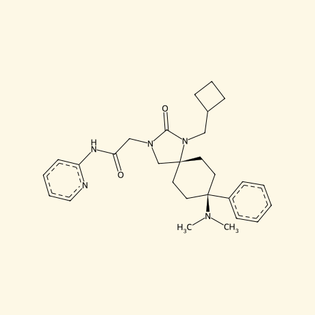 CN(C)[C@]1(c2ccccc2)CC[C@@]2(CC1)CN(CC(=O)Nc1ccccn1)C(=O)N2CC1CCC1